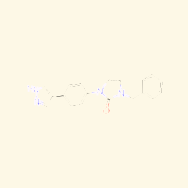 O=C1N(Cc2ccccc2)CCN1c1ccc(-c2cn[nH]c2)cc1